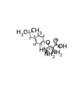 CC(C)Cc1ccc(O/C(NN)=C(/N)C(=O)O)cc1